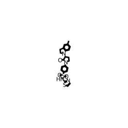 Cc1ccc2c(c1)CCN2[C@H]1CCN(c2ccc(S(=O)(=O)Nc3nccs3)cc2)C1=O